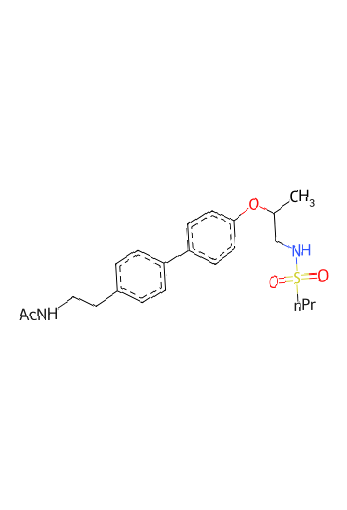 CCCS(=O)(=O)NCC(C)Oc1ccc(-c2ccc(CCNC(C)=O)cc2)cc1